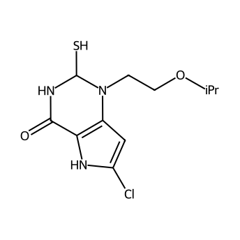 CC(C)OCCN1c2cc(Cl)[nH]c2C(=O)NC1S